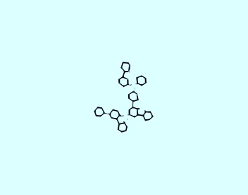 c1ccc(-c2ccc3c(c2)c2ccccc2n3-c2cc(-c3ccc(N(c4ccccc4)c4cccc5c4oc4ccccc45)cc3)c3sc4ccccc4c3c2)cc1